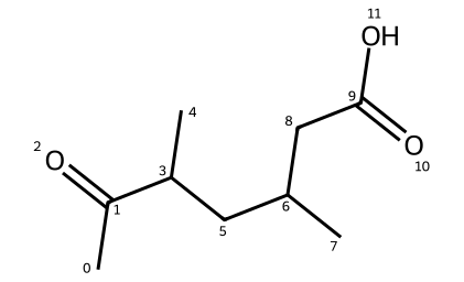 CC(=O)C(C)CC(C)CC(=O)O